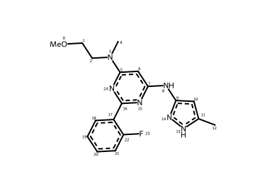 COCCN(C)c1cc(Nc2cc(C)[nH]n2)nc(-c2ccccc2F)n1